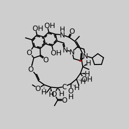 CO[C@H]1/C=C/O[C@@]2(C)Oc3c(C)c(O)c4c(O)c(c(/C=N/N5CCN(C6CCCC6)CC5)c(O)c4c3C2=O)NC(=O)/C(C)=C\C=C\[C@H](C)[C@H](O)[C@@H](C)[C@@H](O)C[C@H](OC(C)=O)[C@@H]1C